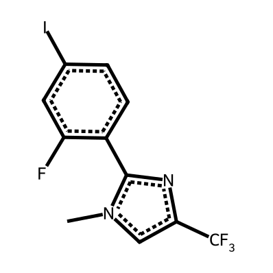 Cn1cc(C(F)(F)F)nc1-c1ccc(I)cc1F